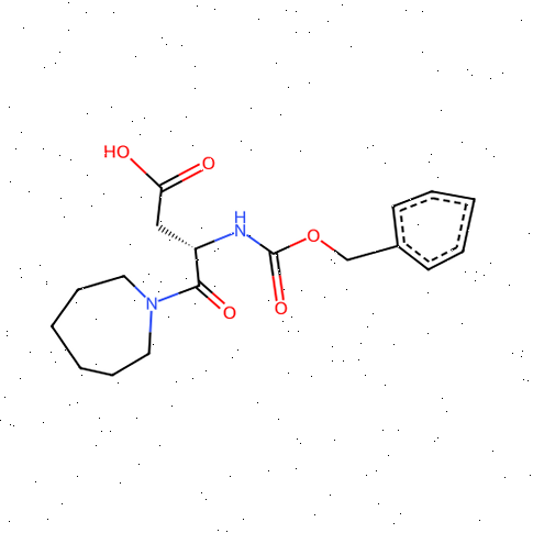 O=C(O)C[C@H](NC(=O)OCc1ccccc1)C(=O)N1CCCCCC1